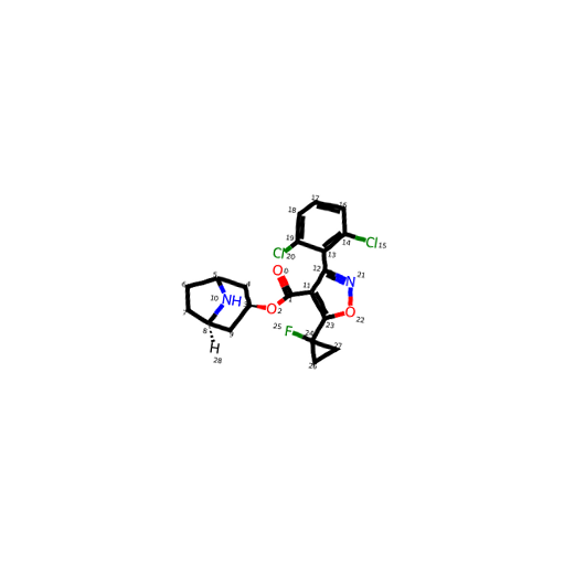 O=C(O[C@@H]1CC2CC[C@H](C1)N2)c1c(-c2c(Cl)cccc2Cl)noc1C1(F)CC1